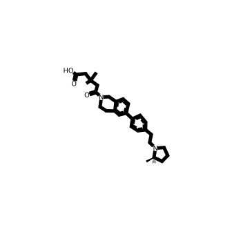 C[C@@H]1CCCN1CCc1ccc(-c2ccc3c(c2)CCN(C(=O)CC(C)(C)CC(=O)O)C3)cc1